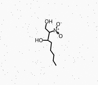 CCCCCC(O)C(CO)[N+](=O)[O-]